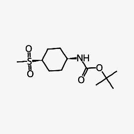 CC(C)(C)OC(=O)N[C@H]1CC[C@@H](S(C)(=O)=O)CC1